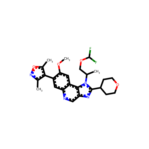 COc1cc2c(cc1-c1c(C)noc1C)ncc1nc(C3CCOCC3)n(C(C)COC(F)F)c12